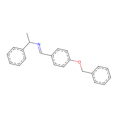 CC(N=Cc1ccc(OCc2ccccc2)cc1)c1ccccc1